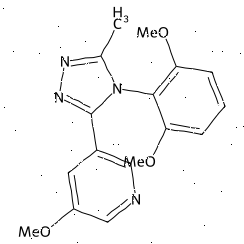 COc1cncc(-c2nnc(C)n2-c2c(OC)cccc2OC)c1